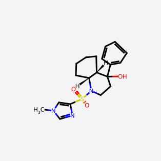 Cn1cnc(S(=O)(=O)N2CCC(O)(c3ccccc3)[C@H]3CCCC[C@H]32)c1